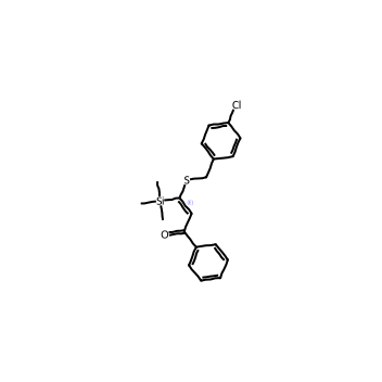 C[Si](C)(C)/C(=C\C(=O)c1ccccc1)SCc1ccc(Cl)cc1